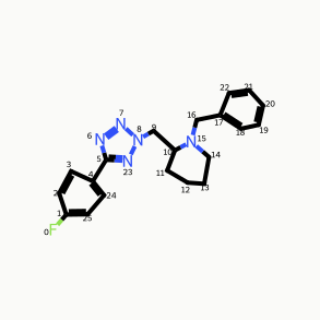 Fc1ccc(-c2nnn(CC3CCCCN3Cc3ccccc3)n2)cc1